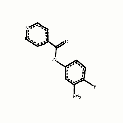 Nc1cc(NC(=O)c2ccncc2)ccc1F